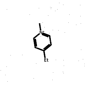 CCc1cc[n+](C)cc1